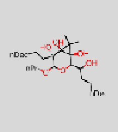 CCCCCCCCCCCCC(O)[C@H]1O[C@@H](OCCC)[C@@](O)(CCCCCCCCCCCC)[C@]2(O)C(C)(C)[C@]12O